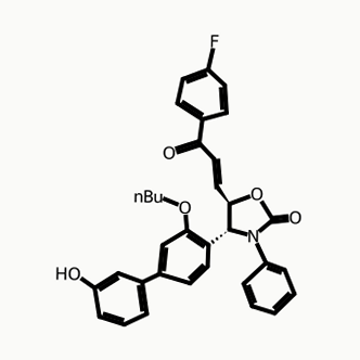 CCCCOc1cc(-c2cccc(O)c2)ccc1[C@@H]1[C@@H](/C=C/C(=O)c2ccc(F)cc2)OC(=O)N1c1ccccc1